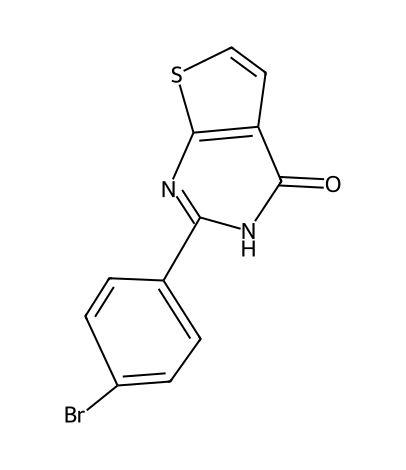 O=c1[nH]c(-c2ccc(Br)cc2)nc2sccc12